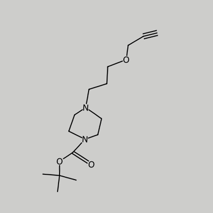 C#CCOCCCN1CCN(C(=O)OC(C)(C)C)CC1